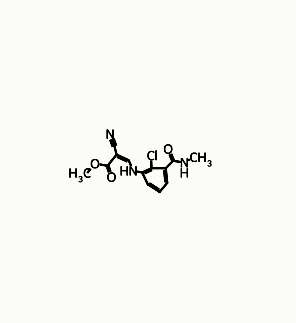 CNC(=O)c1cccc(NC=C(C#N)C(=O)OC)c1Cl